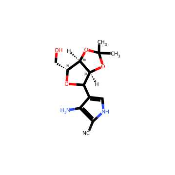 CC1(C)O[C@@H]2[C@@H](CO)OC(c3c[nH]c(C#N)c3N)[C@@H]2O1